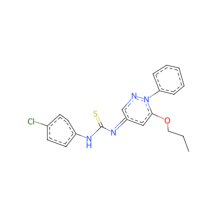 CCCOc1cc(=NC(=S)Nc2ccc(Cl)cc2)cnn1-c1ccccc1